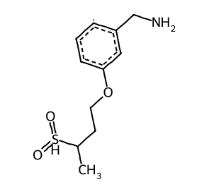 CC(CCOc1cc[c]c(CN)c1)[SH](=O)=O